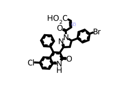 O=C(O)/C=C\C(=O)N1N=C(c2c(-c3ccccc3)c3cc(Cl)ccc3[nH]c2=O)CC1c1ccc(Br)cc1